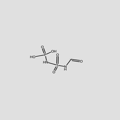 O=[C]NS(=O)(=O)NP(=O)(O)O